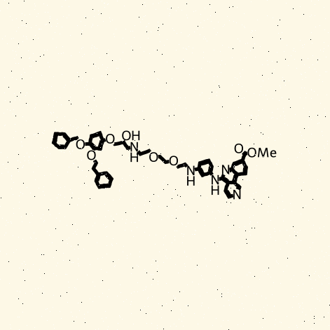 COC(=O)c1ccc2c(c1)nc(Nc1cccc(NCCOCCOCCNC[C@@H](O)COc3ccc(OCc4ccccc4)c(OCCc4ccccc4)c3)c1)c1ccncc12